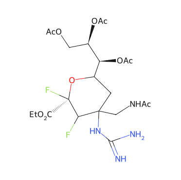 CCOC(=O)[C@]1(F)OC([C@H](OC(C)=O)[C@@H](COC(C)=O)OC(C)=O)CC(CNC(C)=O)(NC(=N)N)C1F